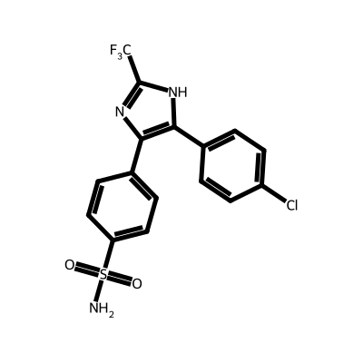 NS(=O)(=O)c1ccc(-c2nc(C(F)(F)F)[nH]c2-c2ccc(Cl)cc2)cc1